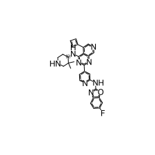 CC1(C)CNCC[C@@H]1Nc1nc(-c2ccnc(Nc3nc4ccc(F)cc4o3)c2)nc2cncc(C3=CC=C3)c12